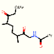 COCC(=O)C(C)CCC(C)C(=O)CNC(=O)C(C)C